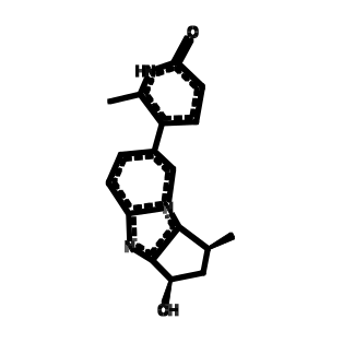 Cc1[nH]c(=O)ccc1-c1ccc2nc3c(n2c1)[C@@H](C)C[C@H]3O